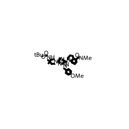 CNC(=O)c1cccc2c1CCCN2c1nn(Cc2ccc(OC)cc2)c2nc(N3CCC(C)(CNC(=O)OC(C)(C)C)CC3)cnc12